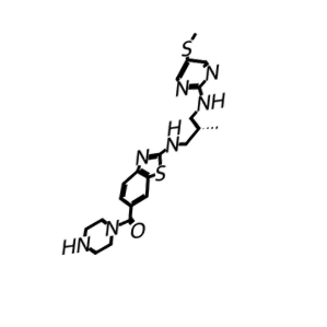 CSc1cnc(NC[C@H](C)CNc2nc3ccc(C(=O)N4CCNCC4)cc3s2)nc1